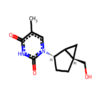 Cc1cn([C@H]2CC[C@@]3(CO)CC23)c(=O)[nH]c1=O